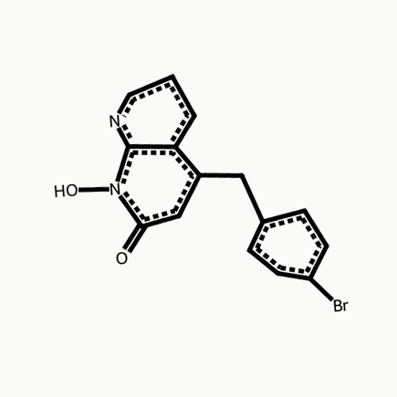 O=c1cc(Cc2ccc(Br)cc2)c2cccnc2n1O